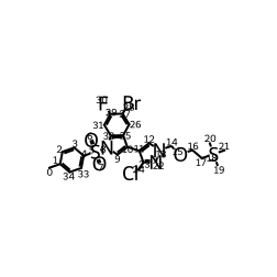 Cc1ccc(S(=O)(=O)n2cc(-c3cn(COCCS(C)(C)C)nc3Cl)c3cc(Br)c(F)cc32)cc1